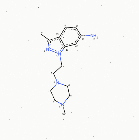 Cc1nn(CCN2CCN(C)CC2)c2cc(N)ccc12